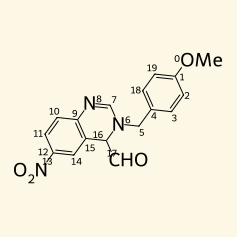 COc1ccc(CN2C=Nc3ccc([N+](=O)[O-])cc3C2C=O)cc1